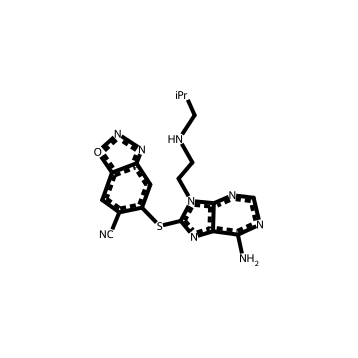 CC(C)CNCCn1c(Sc2cc3nnoc3cc2C#N)nc2c(N)ncnc21